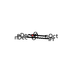 CCCCCCCC/C=C/CCCCCCCCOC(=O)CCCCCCCCCCCCCCCC.CCCCCCCCCCCCCCCCC(=O)OCCCCCCCCCCCCCCCC(C)C